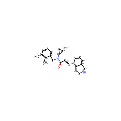 Cc1cccc(CN(C(=O)/C=C/c2cccc3c2CCNC3)C2CC2)c1C.Cl